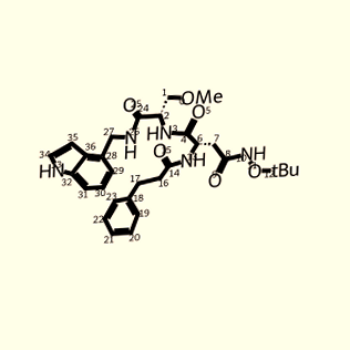 COC[C@H](NC(=O)[C@H](CC(=O)NOC(C)(C)C)NC(=O)CCc1ccccc1)C(=O)NCc1cccc2[nH]ccc12